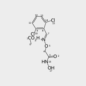 CC(=O)O.O=C(CON=Cc1c(Cl)cccc1Cl)NO